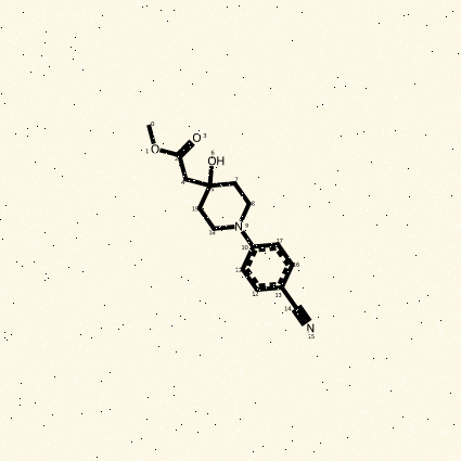 COC(=O)CC1(O)CCN(c2ccc(C#N)cc2)CC1